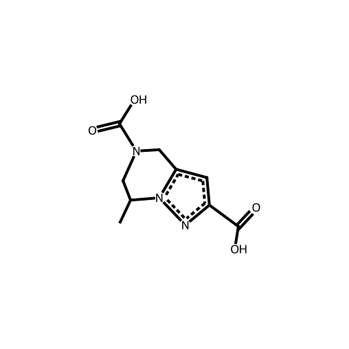 CC1CN(C(=O)O)Cc2cc(C(=O)O)nn21